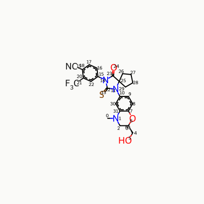 CN1C[C@H](CO)Oc2ccc(N3C(=S)N(c4ccc(C#N)c(C(F)(F)F)c4)C(=O)C34CCCC4)cc21